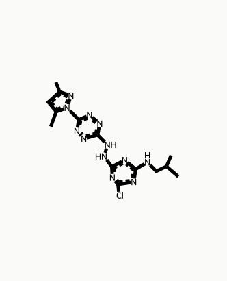 Cc1cc(C)n(-c2nnc(NNc3nc(Cl)nc(NCC(C)C)n3)nn2)n1